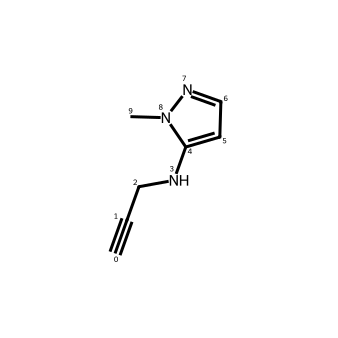 C#CCNc1ccnn1C